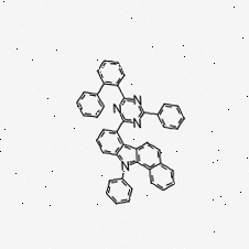 c1ccc(-c2nc(-c3ccccc3-c3ccccc3)nc(-c3cccc4c3c3ccc5ccccc5c3n4-c3ccccc3)n2)cc1